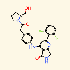 O=C1NCc2nc(-c3c(F)cccc3F)cc(Nc3ccc(CC(=O)N4CCC[C@H]4CO)cc3)c21